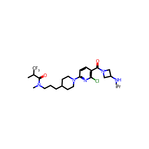 CC(C)NC1CN(C(=O)c2ccc(N3CCC(CCCN(C)C(=O)C(C)C(F)(F)F)CC3)nc2Cl)C1